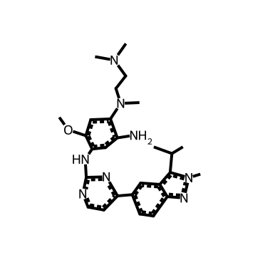 COc1cc(N(C)CCN(C)C)c(N)cc1Nc1nccc(-c2ccc3nn(C)c(C(C)C)c3c2)n1